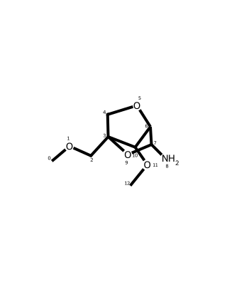 COCC12COC(C(N)O1)C2OC